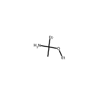 C[CH]C(C)(N)OCC